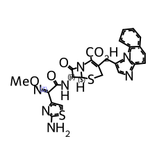 CO/N=C(\C(=O)N[C@@H]1C(=O)N2C(C(=O)O)=C(Cc3cnc4ccc5ccccc5n34)CS[C@@H]12)c1csc(N)n1